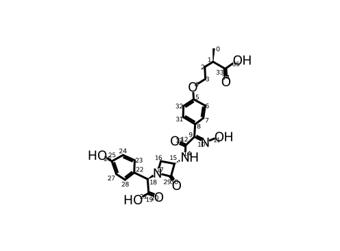 C[C@H](CCOc1ccc(/C(=N\O)C(=O)N[C@H]2CN([C@@H](C(=O)O)c3ccc(O)cc3)C2=O)cc1)C(=O)O